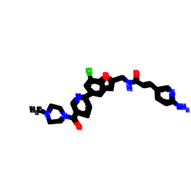 CN1CCN(C(=O)c2ccc(-c3cc(Cl)c4oc(CNC(=O)C=Cc5ccc(N)nc5)cc4c3)nc2)CC1